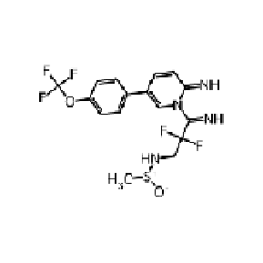 C[S+]([O-])NCC(F)(F)C(=N)n1cc(-c2ccc(OC(F)(F)F)cc2)ccc1=N